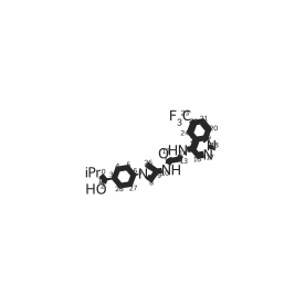 CC(C)C(O)[C@H]1CC[C@H](N2CC(NC(=O)CNc3cnnc4ccc(C(F)(F)F)cc34)C2)CC1